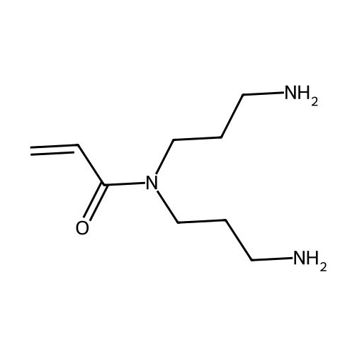 C=CC(=O)N(CCCN)CCCN